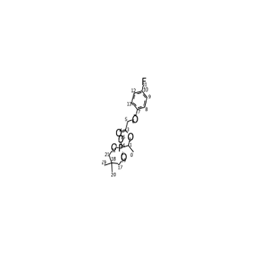 CC(OC(=O)COc1ccc(F)cc1)P1(=O)OCC(C)(C)CO1